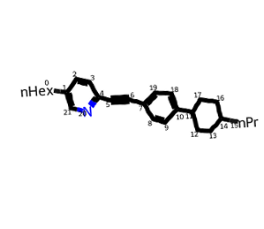 CCCCCCc1ccc(C#Cc2ccc(C3CCC(CCC)CC3)cc2)nc1